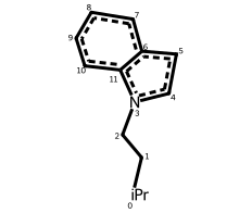 CC(C)CCn1ccc2ccccc21